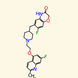 Cc1ccc2c(OCCN3CCC(Cc4cc5c(cc4F)OCC(=O)N5)CC3)cc(F)cc2n1